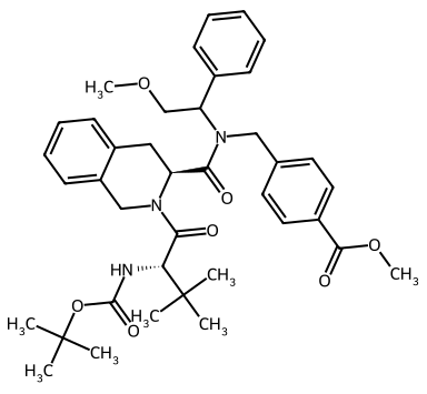 COCC(c1ccccc1)N(Cc1ccc(C(=O)OC)cc1)C(=O)[C@@H]1Cc2ccccc2CN1C(=O)[C@@H](NC(=O)OC(C)(C)C)C(C)(C)C